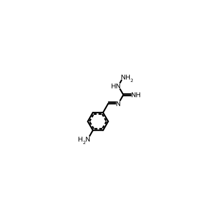 N=C(N=Cc1ccc(N)cc1)NN